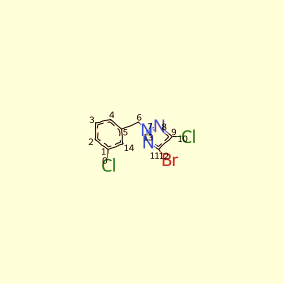 Clc1cccc(Cn2nc(Cl)c(Br)n2)c1